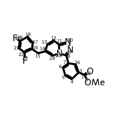 COC(=O)c1cccc(-c2nnc3ccc(Cc4ccc(F)cc4F)cn23)c1